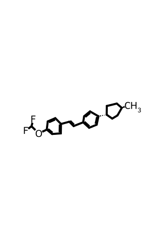 C[C@H]1CC[C@H](c2ccc(C=Cc3ccc(OC(F)F)cc3)cc2)CC1